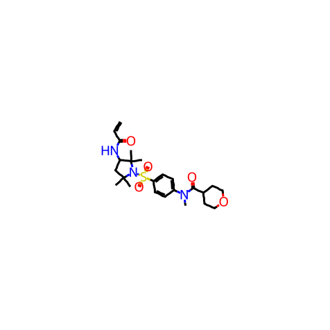 C=CC(=O)NC1CC(C)(C)N(S(=O)(=O)c2ccc(N(C)C(=O)C3CCOCC3)cc2)C1(C)C